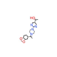 C[C@H](O)c1cnc(N2CCN([C@@H](C)c3ccc4c(c3)OCO4)CC2)nc1